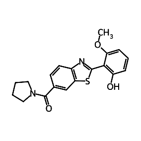 COc1cccc(O)c1-c1nc2ccc(C(=O)N3CCCC3)cc2s1